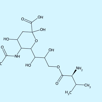 CC(=O)NC1C(O)CC(O)(C(=O)O)OC1C(O)C(O)COC(=O)[C@@H](N)C(C)C